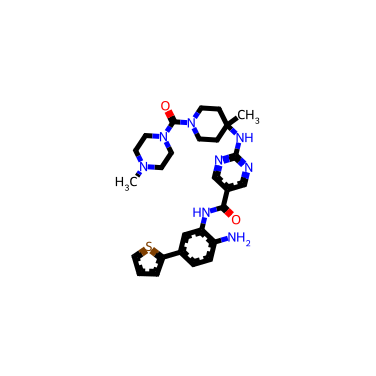 CN1CCN(C(=O)N2CCC(C)(Nc3ncc(C(=O)Nc4cc(-c5cccs5)ccc4N)cn3)CC2)CC1